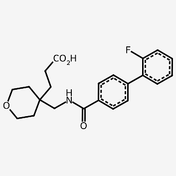 O=C(O)CCC1(CNC(=O)c2ccc(-c3ccccc3F)cc2)CCOCC1